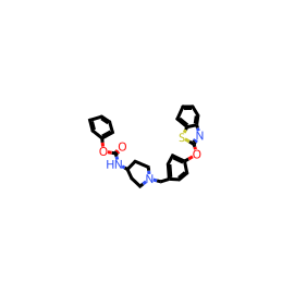 O=C(NC1CCN(Cc2ccc(Oc3nc4ccccc4s3)cc2)CC1)Oc1ccccc1